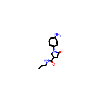 CCCNC(=O)C1CC(=O)N(C2=CCC=C(N)C=C2)C1